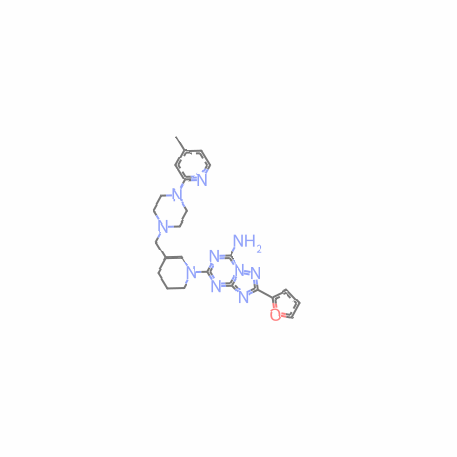 Cc1ccnc(N2CCN(CC3CCCN(c4nc(N)n5nc(-c6ccco6)nc5n4)C3)CC2)c1